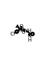 O=C(Cn1nc(-c2ccc(Cl)cc2)n(C2CC2)c1=O)NCCc1c[nH]c2ccccc12